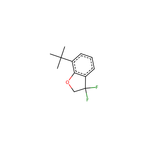 CC(C)(C)c1cccc2c1OCC2(F)F